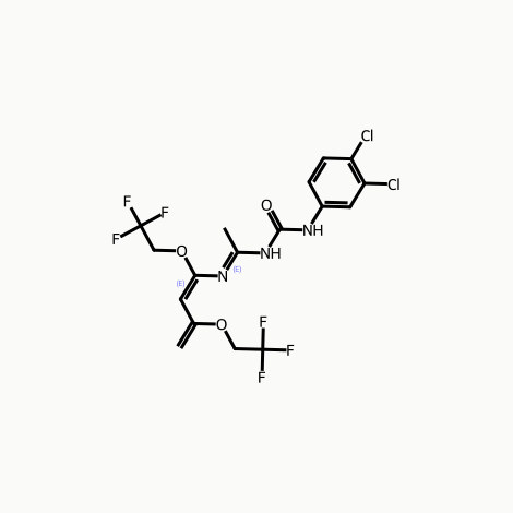 C=C(/C=C(\N=C(/C)NC(=O)Nc1ccc(Cl)c(Cl)c1)OCC(F)(F)F)OCC(F)(F)F